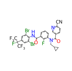 N#Cc1ccc(C(=O)N(CC2CC2)c2cccc(C(=O)Nc3c(Br)cc(C(F)(C(F)(F)F)C(F)(F)F)cc3Br)c2F)cn1